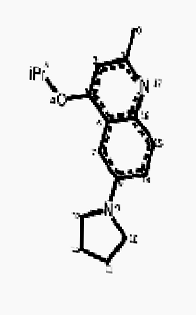 Cc1cc(OC(C)C)c2cc(N3CCCC3)ccc2n1